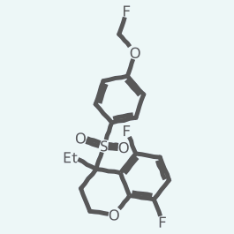 CCC1(S(=O)(=O)c2ccc(OCF)cc2)CCOc2c(F)ccc(F)c21